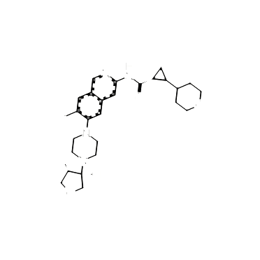 C[C@]1(N2CCN(c3cc4cc(NC(=O)[C@H]5CC5C5CCOCC5)ncc4cc3Cl)CC2)COC[C@H]1F